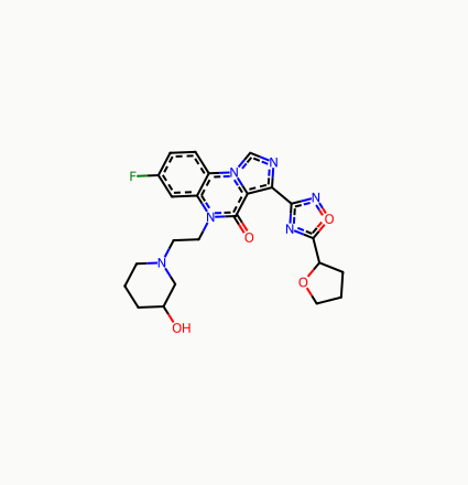 O=c1c2c(-c3noc(C4CCCO4)n3)ncn2c2ccc(F)cc2n1CCN1CCCC(O)C1